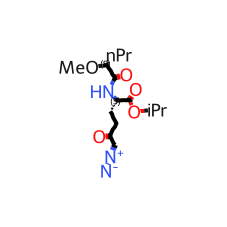 CCC[C@H](OC)C(=O)N[C@@H](CCC(=O)C=[N+]=[N-])C(=O)OC(C)C